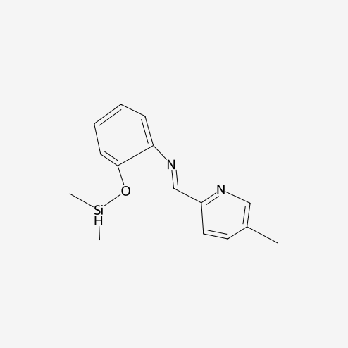 Cc1ccc(C=Nc2ccccc2O[SiH](C)C)nc1